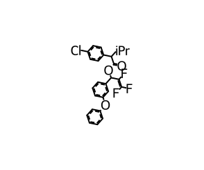 CC(C)C(C(=O)OC(C(F)=C(F)F)c1cccc(Oc2ccccc2)c1)c1ccc(Cl)cc1